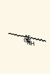 CCCCCCCCCCCCN(CCCCCCCCCCCC)C(=O)N=N